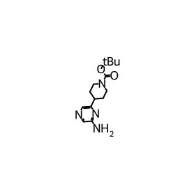 CC(C)(C)OC(=O)N1CCC(c2cncc(N)n2)CC1